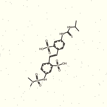 CC(C)NC(=S)Nc1ccc(C=Cc2ccc(NS(=O)(=O)N(C)C)cc2S(=O)(=O)O)c(S(=O)(=O)O)c1